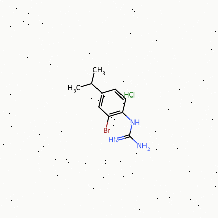 CC(C)c1ccc(NC(=N)N)c(Br)c1.Cl